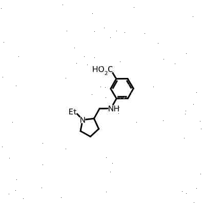 CCN1CCCC1CNc1cccc(C(=O)O)c1